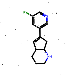 Brc1cncc(C2=CC3CCCNC3C2)c1